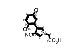 N#Cc1cn(CC(=O)O)cc1-c1cc(Cl)ccc1Cl